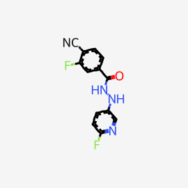 N#Cc1ccc(C(=O)NNc2ccc(F)nc2)cc1F